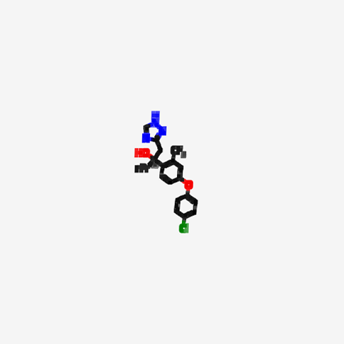 CCC[C@@](O)(Cc1nc[nH]n1)c1ccc(Oc2ccc(Cl)cc2)cc1C(F)(F)F